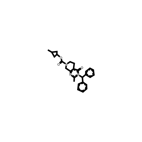 Cc1nc2c(c(=O)n1C(c1ccccc1)c1ccccc1)CCN(C(=O)OC1CC(C)C1)C2